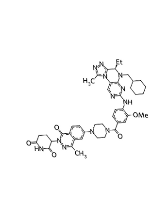 CC[C@@H]1c2nnc(C)n2-c2cnc(Nc3ccc(C(=O)N4CCN(c5ccc6c(=O)n(C7CCC(=O)NC7=O)nc(C)c6c5)CC4)cc3OC)nc2N1CC1CCCCC1